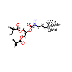 C=C(C)C(=O)OCC(COC(=O)C(=C)C)OC(=O)NCCC[Si](OC)(OC)OC